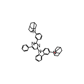 c1ccc(-c2cc(-n3c4ccccc4c4cc(N5C6CC7CC(C6)CC5C7)ccc43)nc(-c3cccc(N4C5CC6CC(C5)CC4C6)c3)n2)cc1